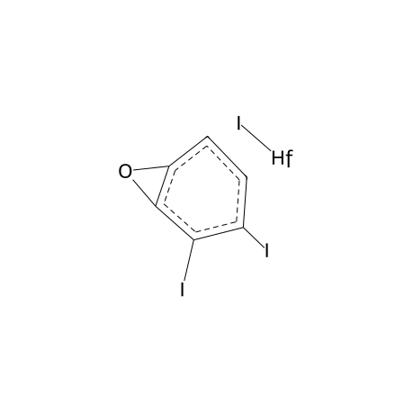 Ic1ccc2c(c1I)O2.[I][Hf]